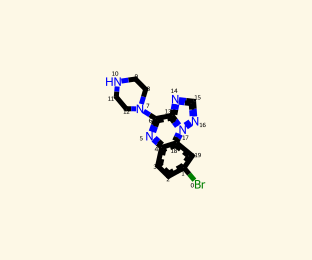 Brc1ccc2nc(N3CCNCC3)c3ncnn3c2c1